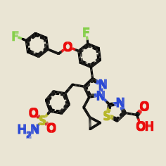 NS(=O)(=O)c1ccc(Cc2c(-c3ccc(F)c(OCc4ccc(F)cc4)c3)nn(-c3nc(C(=O)O)cs3)c2CC2CC2)cc1